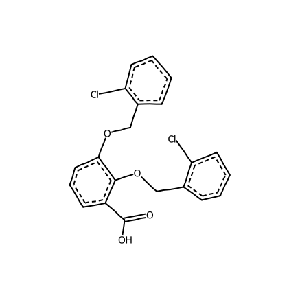 O=C(O)c1cccc(OCc2ccccc2Cl)c1OCc1ccccc1Cl